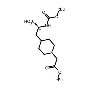 CC(C)(C)OC(=O)CN1CCC(C[C@H](NC(=O)OC(C)(C)C)C(=O)O)CC1